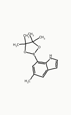 Cc1cc(B2OC(C)(C)C(C)(C)O2)c2[nH]ccc2c1